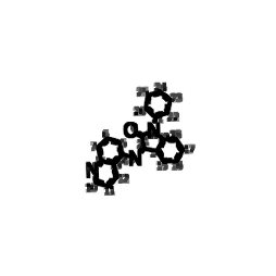 O=C1C(=Nc2cccc3ncccc23)c2ccccc2N1c1ccccc1